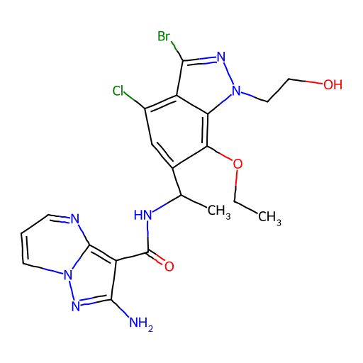 CCOc1c(C(C)NC(=O)c2c(N)nn3cccnc23)cc(Cl)c2c(Br)nn(CCO)c12